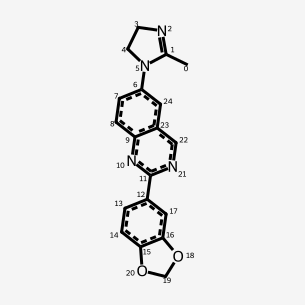 CC1=NCCN1c1ccc2nc(-c3ccc4c(c3)OCO4)ncc2c1